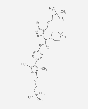 Cc1nn(COCCS(C)(C)C)c(C)c1-c1ccc(NC(=O)C(c2nnc(Br)n2COCCS(C)(C)C)C2CCC(F)(F)CC2)cc1